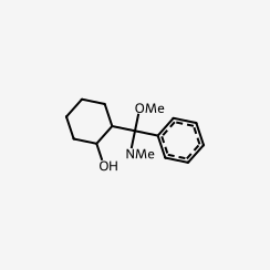 CNC(OC)(c1ccccc1)C1CCCCC1O